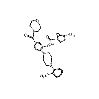 Cc1ccc(C(=O)Nc2cc(C(=O)N3CCOCC3)ccc2N2CCN(c3ccccc3C)CC2)o1